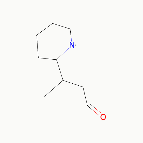 CC(CC=O)C1CCCC[N]1